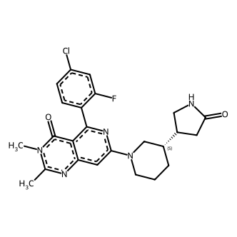 Cc1nc2cc(N3CCC[C@@H](C4CNC(=O)C4)C3)nc(-c3ccc(Cl)cc3F)c2c(=O)n1C